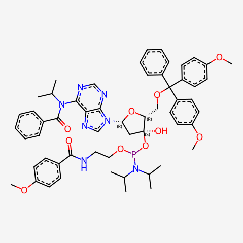 COc1ccc(C(=O)NCCOP(O[C@@]2(O)C[C@H](n3cnc4c(N(C(=O)c5ccccc5)C(C)C)ncnc43)O[C@@H]2COC(c2ccccc2)(c2ccc(OC)cc2)c2ccc(OC)cc2)N(C(C)C)C(C)C)cc1